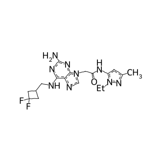 CCn1nc(C)cc1NC(=O)Cn1cnc2c(NCC3CC(F)(F)C3)nc(N)nc21